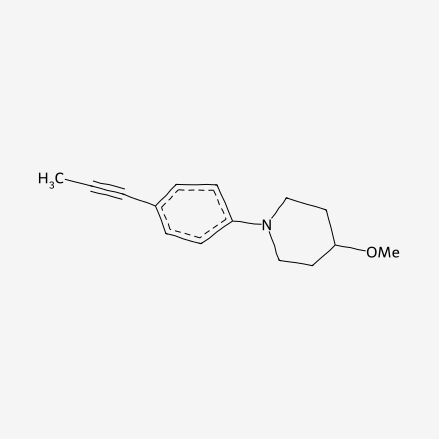 CC#Cc1ccc(N2CCC(OC)CC2)cc1